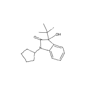 CC(C)(C)C1(O)C(=O)N(C2CCCC2)c2ccccc21